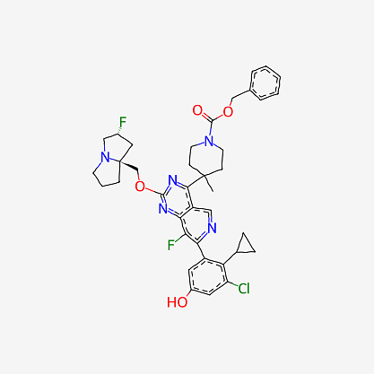 CC1(c2nc(OC[C@@]34CCCN3C[C@H](F)C4)nc3c(F)c(-c4cc(O)cc(Cl)c4C4CC4)ncc23)CCN(C(=O)OCc2ccccc2)CC1